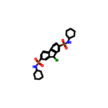 O=S(=O)(NC1CCCCC1)c1ccc2c(c1)C(Br)c1cc(S(=O)(=O)NC3CCCCC3)ccc1-2